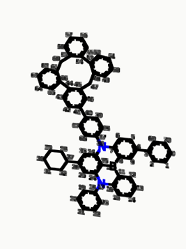 c1ccc(-c2ccc3c(c2)B2c4ccccc4N(c4ccccc4)c4cc(C5CCCCC5)cc(c42)N3c2ccc(-c3ccc4c(c3)Cc3ccccc3-c3ccccc3Cc3ccccc3-4)cc2)cc1